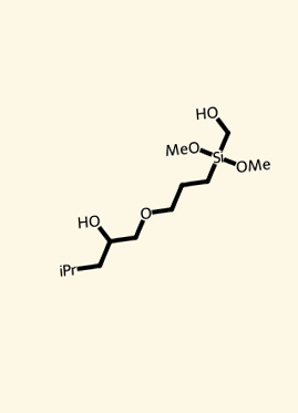 CO[Si](CO)(CCCOCC(O)CC(C)C)OC